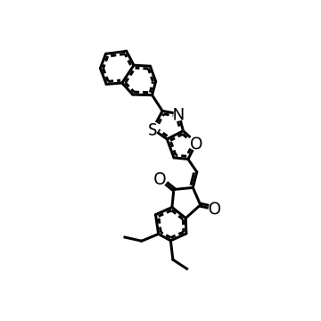 CCc1cc2c(cc1CC)C(=O)C(=Cc1cc3sc(-c4ccc5ccccc5c4)nc3o1)C2=O